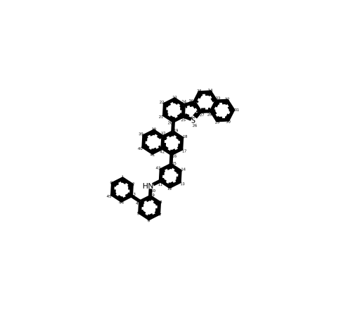 c1ccc(-c2ccccc2Nc2cccc(-c3ccc(-c4cccc5c4sc4c6ccccc6ccc54)c4ccccc34)c2)cc1